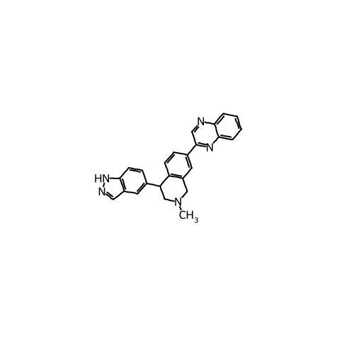 CN1Cc2cc(-c3cnc4ccccc4n3)ccc2C(c2ccc3[nH]ncc3c2)C1